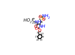 NS(=O)(=O)CCC(NC(=O)OCc1ccccc1)C(=O)NCC(=O)O